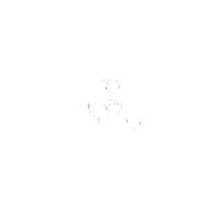 O=C(NCC(O)C1CC1)c1cc(-c2ccc(C(F)F)cc2)nn(-c2cccnc2)c1=O